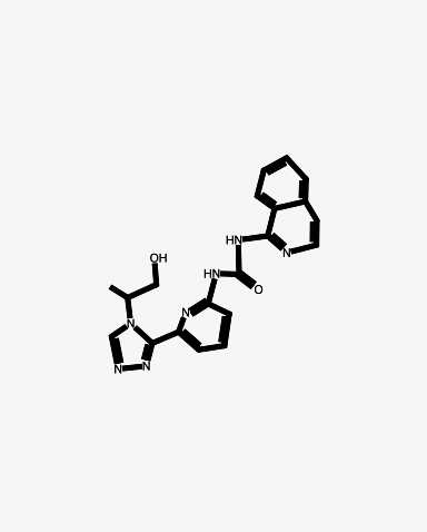 CC(CO)n1cnnc1-c1cccc(NC(=O)Nc2nccc3ccccc23)n1